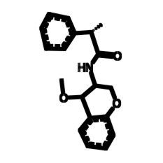 COC1c2ccccc2OCC1NC(=O)[C@@H](C)c1ccccc1